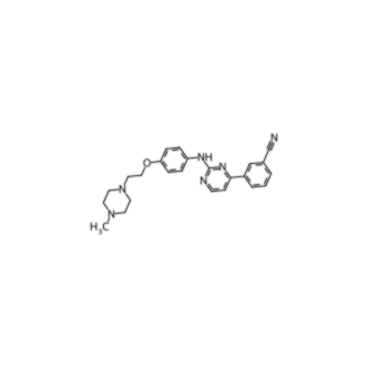 CN1CCN(CCOc2ccc(Nc3nccc(-c4cccc(C#N)c4)n3)cc2)CC1